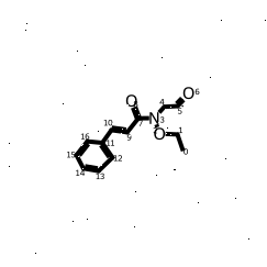 CCON(C[C]=O)C(=O)C=Cc1ccccc1